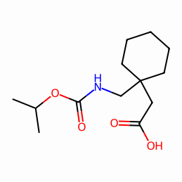 CC(C)OC(=O)NCC1(CC(=O)O)CCCCC1